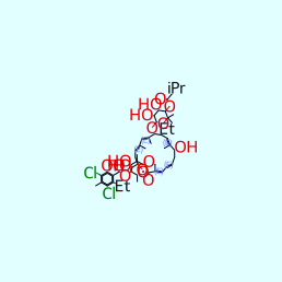 CCc1c(Cl)c(C)c(Cl)c(O)c1C(=O)OC1C(C)OC(OC/C2=C\C=C\CC(O)/C(C)=C/C(CC)C(OC3OC(C)(C)C(OC(=O)CC(C)C)C(O)C3O)/C(C)=C/C(C)=C/CC(C(C)O)OC2=O)C(C)C1O